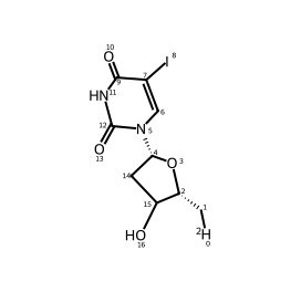 [2H]C[C@H]1O[C@@H](n2cc(I)c(=O)[nH]c2=O)CC1O